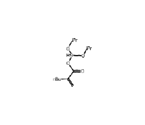 C=C(CCCC)C(=O)O[SiH](OC(C)C)OC(C)C